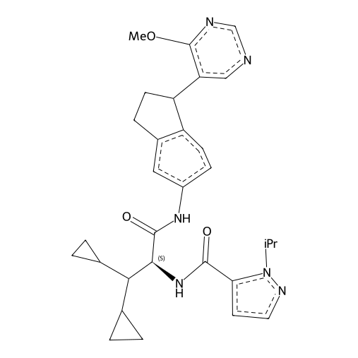 COc1ncncc1C1CCc2cc(NC(=O)[C@@H](NC(=O)c3ccnn3C(C)C)C(C3CC3)C3CC3)ccc21